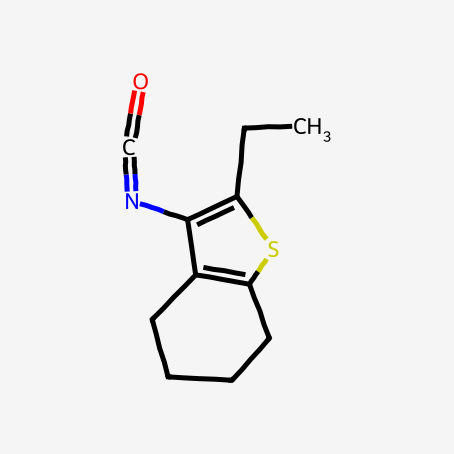 CCc1sc2c(c1N=C=O)CCCC2